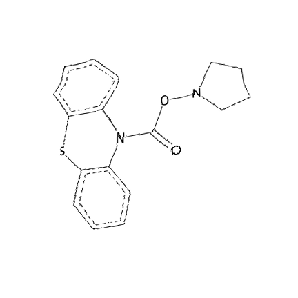 O=C(ON1CCCC1)N1c2ccccc2Sc2ccccc21